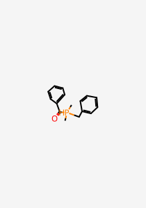 C[PH](C)(Cc1ccccc1)C(=O)c1ccccc1